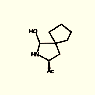 CC(=O)[C@@H]1CC2(CCCC2)C(O)N1